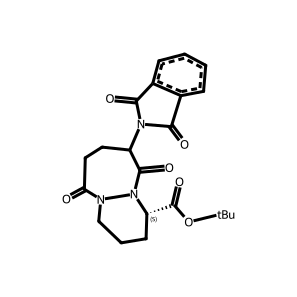 CC(C)(C)OC(=O)[C@@H]1CCCN2C(=O)CCC(N3C(=O)c4ccccc4C3=O)C(=O)N12